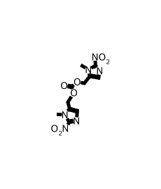 Cn1c(COC(=O)OCc2cnc([N+](=O)[O-])n2C)cnc1[N+](=O)[O-]